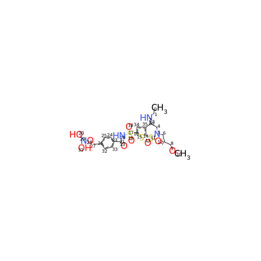 CCN[C@H]1CN(CCCOC)S(=O)(=O)c2sc(S(=O)(=O)NC(=O)c3ccc(CON(O)O)cc3)cc21